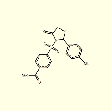 COC(=O)c1ccc(S(=O)(=O)N2C(=O)CSC2c2ccc(C)cc2)cc1